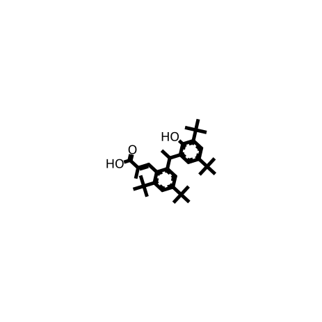 CC(=Cc1c(C(C)c2cc(C(C)(C)C)cc(C(C)(C)C)c2O)cc(C(C)(C)C)cc1C(C)(C)C)C(=O)O